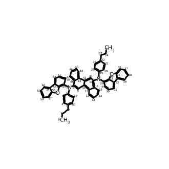 CCCc1ccc(N(c2cc3c4ccccc4c(N(c4ccc(CCC)cc4)c4cccc5c4oc4ccccc45)cc3c3ccccc23)c2cccc3c2oc2ccccc23)cc1